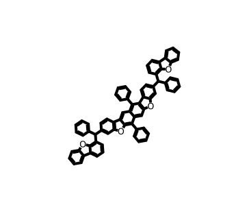 c1ccc(-c2c3cc4oc5cc(C(c6ccccc6)c6cccc7c6oc6ccccc67)ccc5c4c(-c4ccccc4)c3cc3c2oc2cc(C(c4ccccc4)c4cccc5c4oc4ccccc45)ccc23)cc1